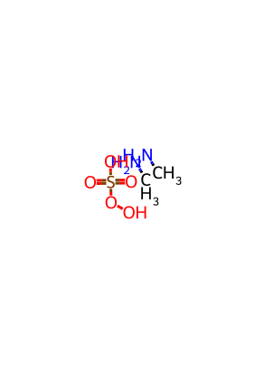 CN.CN.O=S(=O)(O)OO